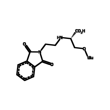 CC(C)(C)OC[C@H](NCCN1C(=O)c2ccccc2C1=O)C(=O)O